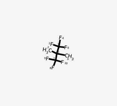 CC(C)(C(F)(F)F)C(F)(F)F